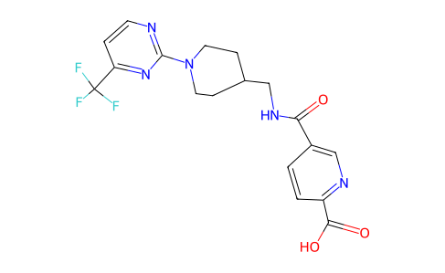 O=C(NCC1CCN(c2nccc(C(F)(F)F)n2)CC1)c1ccc(C(=O)O)nc1